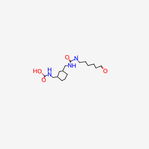 CN(CCCCCC=O)C(=O)NCC1CCCC(CNC(=O)O)C1